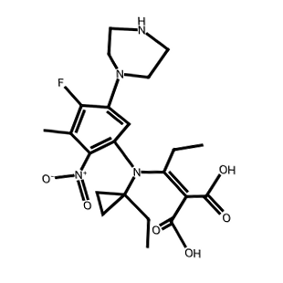 CCC(=C(C(=O)O)C(=O)O)N(c1cc(N2CCNCC2)c(F)c(C)c1[N+](=O)[O-])C1(CC)CC1